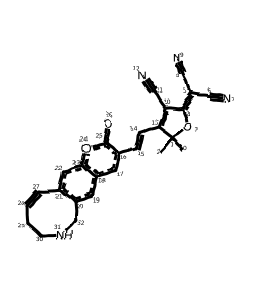 CC1(C)OC(=C(C#N)C#N)C(C#N)=C1/C=C/c1cc2cc3c(cc2oc1=O)C#CCCNC3